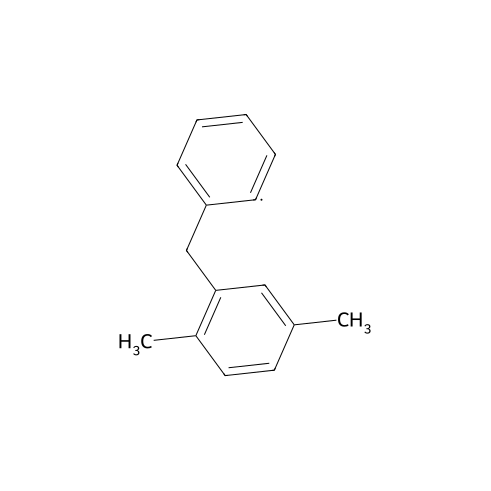 Cc1ccc(C)c(Cc2[c]cccc2)c1